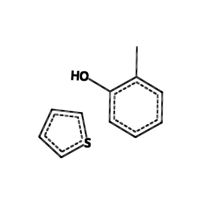 Cc1ccccc1O.c1ccsc1